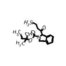 CCC(C)(C)OC(=O)N1Cc2ccccc2C1C(=O)CC[SiH3]